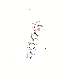 CC1(C)OB(c2ccc(C3=CCN(C4=NCCO4)CC3)cc2)OC1(C)C